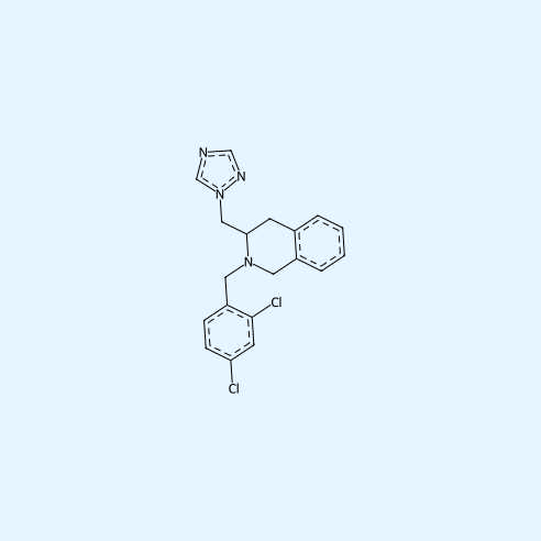 Clc1ccc(CN2Cc3ccccc3CC2Cn2cncn2)c(Cl)c1